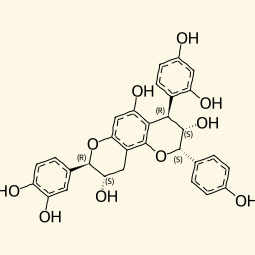 Oc1ccc([C@@H]2Oc3c4c(cc(O)c3[C@@H](c3ccc(O)cc3O)[C@@H]2O)O[C@H](c2ccc(O)c(O)c2)[C@@H](O)C4)cc1